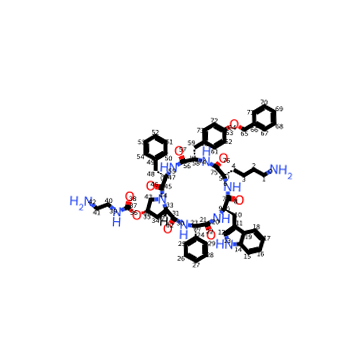 NCCCC[C@@H]1NC(=O)[C@@H](CC2=CNC3C=CC=CC23)NC(=O)[C@H](c2ccccc2)NC(=O)[C@@H]2C[C@@H](OC(=O)NCCN)CN2C(=O)[C@H](Cc2ccccc2)NC(=O)[C@H](Cc2ccc(OCc3ccccc3)cc2)NC1=O